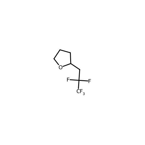 FC(F)(F)C(F)(F)CC1CCCO1